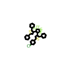 FC1(F)C(c2cc(-c3ccccc3)sc2-c2ccccc2)=C(c2cc(-c3ccc(Cl)cc3)sc2-c2ccccc2)C(F)(F)C1(F)F